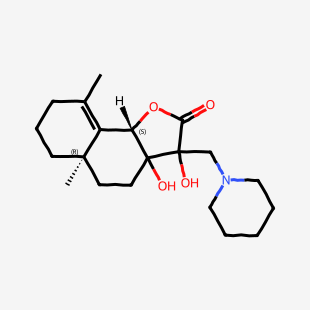 CC1=C2[C@@H]3OC(=O)C(O)(CN4CCCCC4)C3(O)CC[C@@]2(C)CCC1